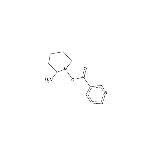 NC1CCCCN1OC(=O)c1cccnc1